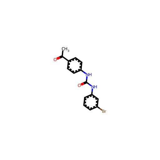 CC(=O)c1ccc(NC(=O)Nc2cccc(Br)c2)cc1